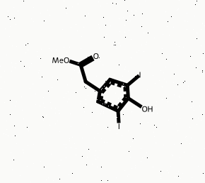 COC(=O)Cc1cc(I)c(O)c(I)c1